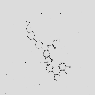 C=CC(=O)Nc1cc(Nc2cc(N3OCCC3c3cccc(Cl)c3Cl)ncn2)c(OC)cc1N1CCC(N2CCN(CC3CC3)CC2)CC1